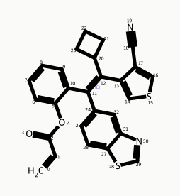 C=CC(=O)Oc1ccccc1/C(=C(/c1cscc1C#N)C1CCC1)c1ccc2scnc2c1